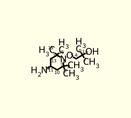 CC(C)(O)CON1C(C)(C)CC(N)CC1(C)C